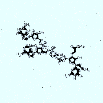 CNC(=O)CC[C@@H]1[C@@H](COP(=O)(O)OP(=O)(O)OP(=O)(O)OCC2O[C@@H](n3cnc4c(N)ncnc43)[C@H](OC)[C@@H]2P(=O)([O-])OC[C@H]2O[C@@H](n3cnc4c(=O)[nH]c(N)nc43)[C@H](O)[C@@H]2O)OC(n2c[n+](C)c3c(=O)[nH]c(N)nc32)[C@@H]1O